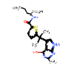 Cc1nc(O)c2c(C(C)(C)c3ccc(C(=O)N[C@@H](CCC(=O)O)C(=O)O)s3)c[nH]c2n1